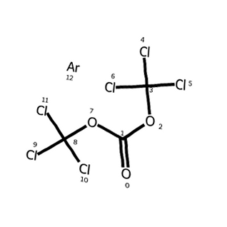 O=C(OC(Cl)(Cl)Cl)OC(Cl)(Cl)Cl.[Ar]